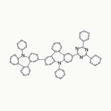 c1ccc(-c2nc(-c3ccccc3)nc(-c3ccc4c(c3)-c3ccccc3-c3cc(-c5ccc6c(c5)-c5ccccc5-c5ccccc5N6c5ccccc5)ccc3N4c3ccccc3)n2)cc1